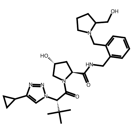 CC(C)(C)[C@@H](C(=O)N1C[C@H](O)C[C@H]1C(=O)NCc1ccccc1CN1CCCC1CO)n1cc(C2CC2)nn1